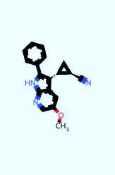 COc1cnc2[nH]c(-c3ccccc3)c([C@@H]3C[C@H]3C#N)c2c1